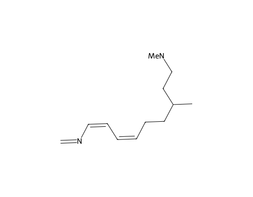 C=N/C=C\C=C/CCC(C)CCNC